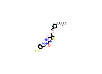 CCOC(=O)c1ccc(COCc2csc3nc(C(=O)NCc4cccc(S)c4)[nH]c(=O)c23)cc1